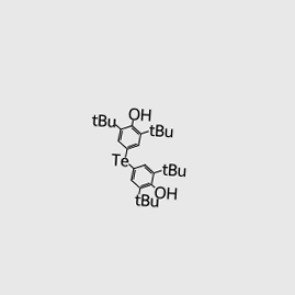 CC(C)(C)c1cc([Te]c2cc(C(C)(C)C)c(O)c(C(C)(C)C)c2)cc(C(C)(C)C)c1O